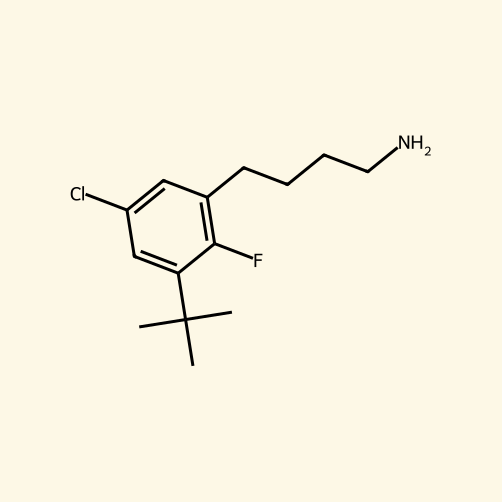 CC(C)(C)c1cc(Cl)cc(CCCCN)c1F